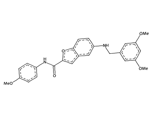 COc1ccc(NC(=O)c2cc3cc(NCc4cc(OC)cc(OC)c4)ccc3o2)cc1